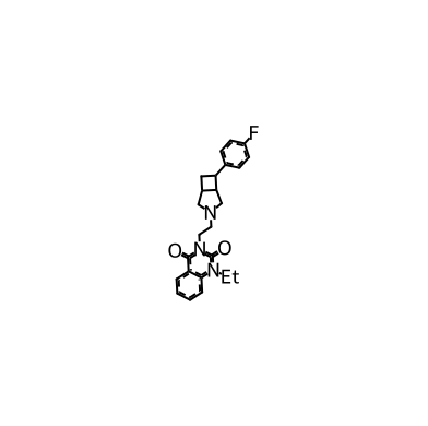 CCn1c(=O)n(CCN2CC3CC(c4ccc(F)cc4)C3C2)c(=O)c2ccccc21